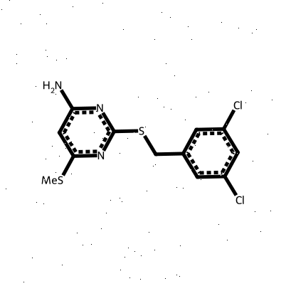 CSc1cc(N)nc(SCc2cc(Cl)cc(Cl)c2)n1